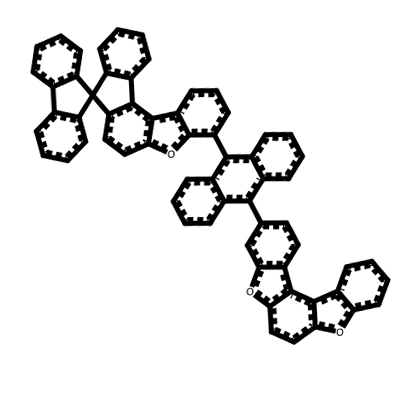 c1ccc2c(c1)-c1ccccc1C21c2ccccc2-c2c1ccc1oc3c(-c4c5ccccc5c(-c5ccc6c(c5)oc5ccc7oc8ccccc8c7c56)c5ccccc45)cccc3c21